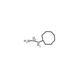 [SiH3][SiH2][SiH2]C1CCCCCCC1